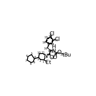 CCC1CC(C2CCCCC2)CCN1C(=O)[C@@H](Cc1ccc(Cl)c(Cl)c1)NC(=O)OC(C)(C)C